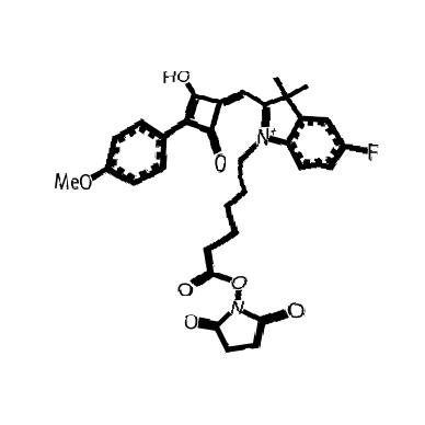 COc1ccc(C2=C(O)/C(=C/C3=[N+](CCCCCC(=O)ON4C(=O)CCC4=O)c4ccc(F)cc4C3(C)C)C2=O)cc1